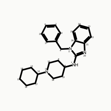 c1ccc(Cn2c(NC3CCN(C4CCCCC4)CC3)nc3ccccc32)cc1